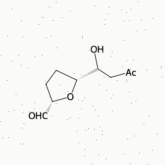 CC(=O)CC(O)[C@H]1CC[C@@H](C=O)O1